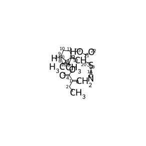 C=C(CC)C(=O)OC1C[C@H]2CC[C@@]1(C)C2(C)C.N#CSCC(=O)O